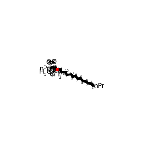 CCCC=CCCCCCCCCCCCCCCC(CCC)(P(=O)=O)[N+](C)(C)C